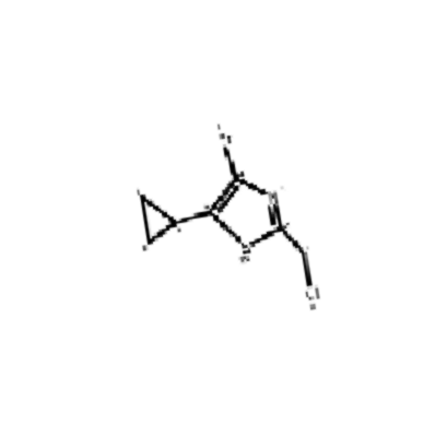 ClCc1nc(Br)c(C2CC2)s1